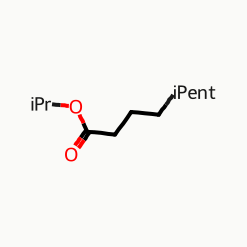 CCCC(C)CCCC(=O)OC(C)C